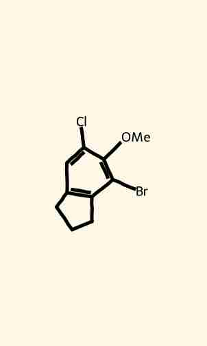 COc1c(Cl)cc2c(c1Br)CCC2